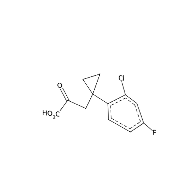 O=C(O)C(=O)CC1(c2ccc(F)cc2Cl)CC1